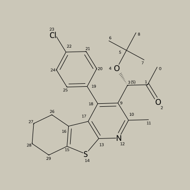 CC(=O)[C@@H](OC(C)(C)C)c1c(C)nc2sc3c(c2c1-c1ccc(Cl)cc1)CCCC3